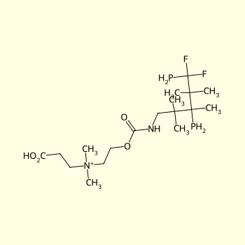 CC(C)(CNC(=O)OCC[N+](C)(C)CCC(=O)O)C(C)(P)C(C)(C)C(F)(F)P